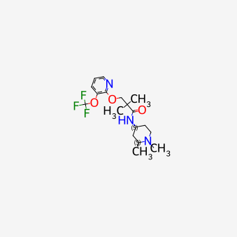 C[C@H]1C[C@@H](NC(=O)C(C)(C)COc2ncccc2OC(F)(F)F)CCN1C